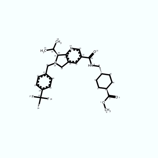 COC(=O)[C@H]1CC[C@H](CNC(=O)c2cnc3c(c2)CN(Cc2ccc(C(F)(F)F)cc2)[C@H]3C(C)C)CC1